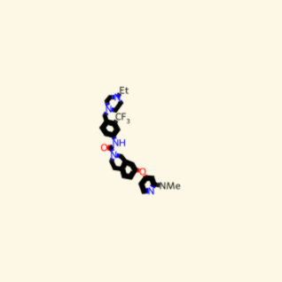 CCN1CCN(Cc2ccc(NC(=O)N3CCc4ccc(Oc5ccnc(NC)c5)cc4C3)cc2C(F)(F)F)CC1